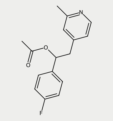 CC(=O)OC(Cc1ccnc(C)c1)c1ccc(F)cc1